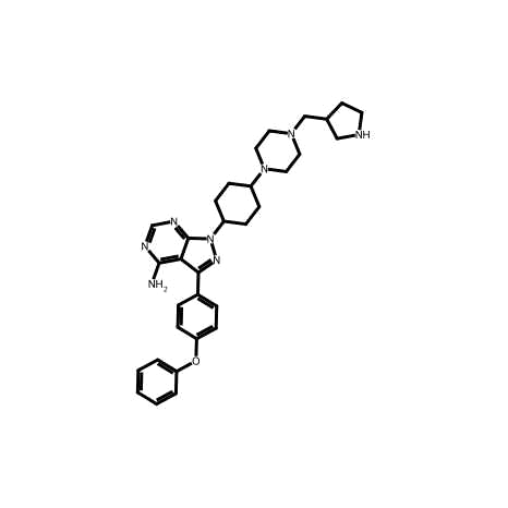 Nc1ncnc2c1c(-c1ccc(Oc3ccccc3)cc1)nn2C1CCC(N2CCN(CC3CCNC3)CC2)CC1